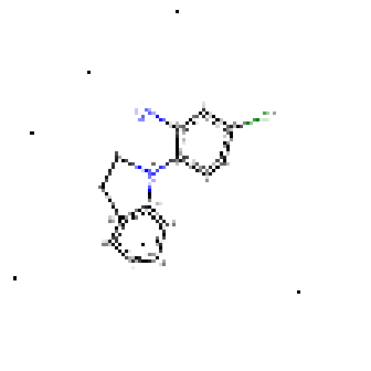 Nc1cc(Cl)ccc1N1CCc2ccccc21